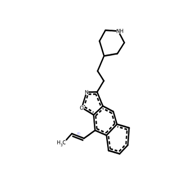 C/C=C/c1c2ccccc2cc2c(CCC3CCNCC3)noc12